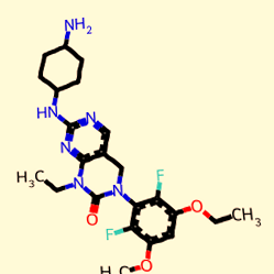 CCOc1cc(OC)c(F)c(N2Cc3cnc(NC4CCC(N)CC4)nc3N(CC)C2=O)c1F